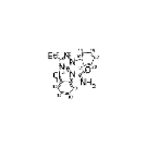 CCc1nc(N(C(N)=O)c2ccccc2Cl)n(-c2ccccc2)n1